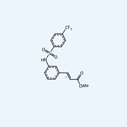 COC(=O)/C=C/c1cccc(NS(=O)(=O)c2ccc(C(F)(F)F)cc2)c1